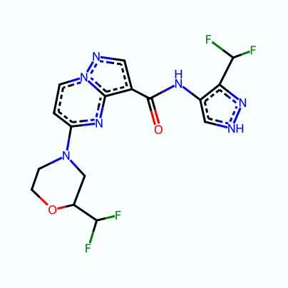 O=C(Nc1c[nH]nc1C(F)F)c1cnn2ccc(N3CCOC(C(F)F)C3)nc12